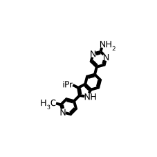 Cc1cc(-c2[nH]c3ccc(-c4cnc(N)nc4)cc3c2C(C)C)ccn1